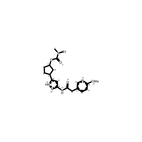 CCN(C)C(=O)OC1CCC(c2cc(NC(=O)Cc3ccc(OC)nc3)n[nH]2)C1